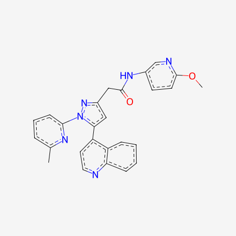 COc1ccc(NC(=O)Cc2cc(-c3ccnc4ccccc34)n(-c3cccc(C)n3)n2)cn1